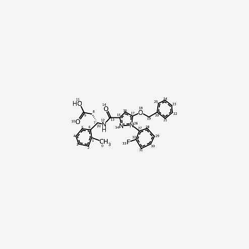 Cc1ccccc1[C@H](CC(=O)O)NC(=O)c1cc(OCc2ccccc2)n(-c2ccccc2F)n1